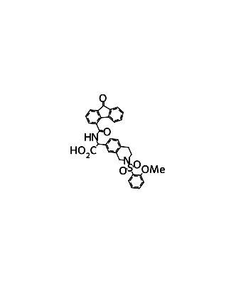 COc1ccccc1S(=O)(=O)N1CCc2ccc(C(NC(=O)c3cccc4c3-c3ccccc3C4=O)C(=O)O)cc2C1